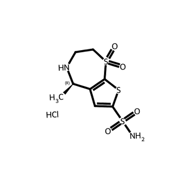 C[C@H]1NCCS(=O)(=O)c2sc(S(N)(=O)=O)cc21.Cl